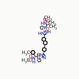 COC(=O)N[C@H](C(=O)N1CCC[C@H]1C1NC=C(c2ccc3cc(-c4ccc(-c5cnc([C@@H]6CCCN6C(=O)[C@H](NC(=O)OC)c6cccc(C)c6)[nH]5)cc4)ccc3c2)N1)C(C)C